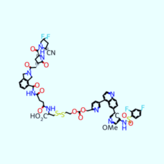 COc1ncc(-c2ccc3nccc(-c4ccc(COC(=O)OCCSSCC(NC(=O)CCC(=O)NC(=O)c5cccc6c5CN(C(=O)C[C@@H]5C[C@@H](C(=O)N7CC(F)(F)C[C@H]7C#N)NC5=O)C6)C(=O)O)nc4)c3c2)cc1NS(=O)(=O)c1ccc(F)cc1F